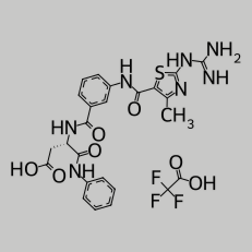 Cc1nc(NC(=N)N)sc1C(=O)Nc1cccc(C(=O)N[C@@H](CC(=O)O)C(=O)Nc2ccccc2)c1.O=C(O)C(F)(F)F